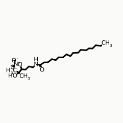 CCCCCCCCCCCCCCCCCC(=O)NCCCC(O[N+](=O)[O-])C(C)(C)O